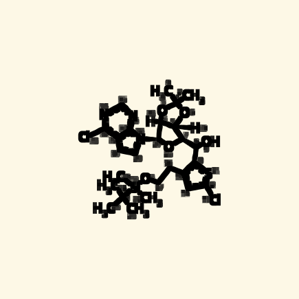 CC1(C)O[C@@H]2[C@H](O1)[C@@H](C(O)c1sc(Cl)cc1CCO[Si](C)(C)C(C)(C)C)O[C@H]2n1ccc2c(Cl)ncnc21